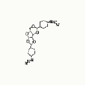 [N-]=[N+]=NC1CCC(C2OCC3OC4OC(C5CCC(N=[N+]=[N-])CC5)OC4C3O2)CC1